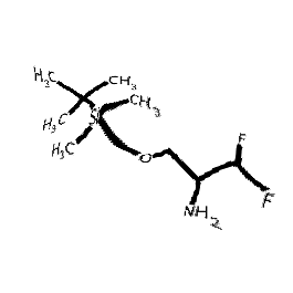 CC(C)(C)[Si](C)(C)OCC(N)C(F)F